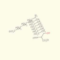 CC(=O)O.CC(=O)O.CC(=O)O.CC(=O)O.CC(=O)O.CC(=O)O.CC(=O)O.CC(=O)O.CC(=O)O.CCCCCCC(CO)C(=O)OCC.CCOC(C)=O